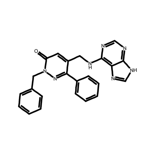 O=c1cc(CNc2ncnc3[nH]cnc23)c(-c2ccccc2)nn1Cc1ccccc1